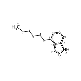 CCCCCCc1cccc2[nH]ncc12